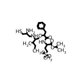 CCC(C)C(COC(Cc1ccccc1)C(=O)NC(CCS(C)(=O)=O)C(=O)OC(C)C)NCC(N)CS